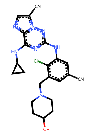 N#Cc1cc(CN2CCC(O)CC2)c(Cl)c(Nc2nc(NC3CC3)c3ncc(C#N)n3n2)c1